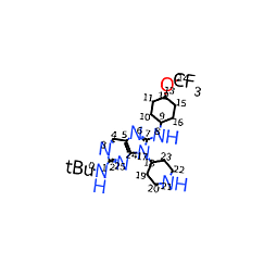 CC(C)(C)Nc1ncc2nc(NC3CCC(OC(F)(F)F)CC3)n(C3CCNCC3)c2n1